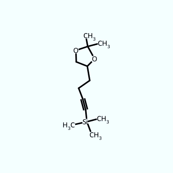 CC1(C)OCC(CCC#C[Si](C)(C)C)O1